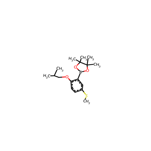 CSc1ccc(OCC(C)C)c(B2OC(C)(C)C(C)(C)O2)c1